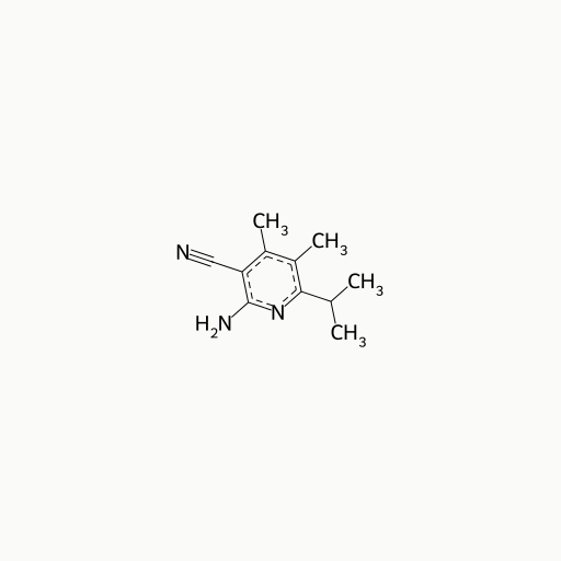 Cc1c(C(C)C)nc(N)c(C#N)c1C